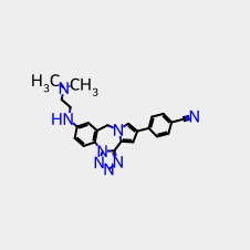 CN(C)CCNc1ccc2c(c1)Cn1cc(-c3ccc(C#N)cc3)cc1-c1nnnn1-2